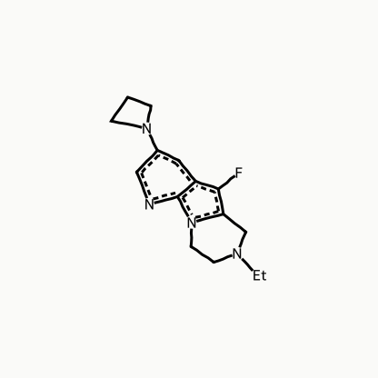 CCN1CCn2c(c(F)c3cc(N4CCC4)cnc32)C1